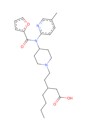 CCCCC(CCN1CCC(N(C(=O)c2ccco2)c2ccc(C)cn2)CC1)CC(=O)O